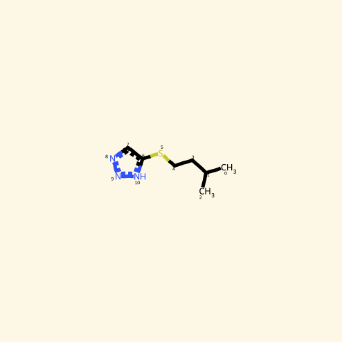 CC(C)C[CH]Sc1cnn[nH]1